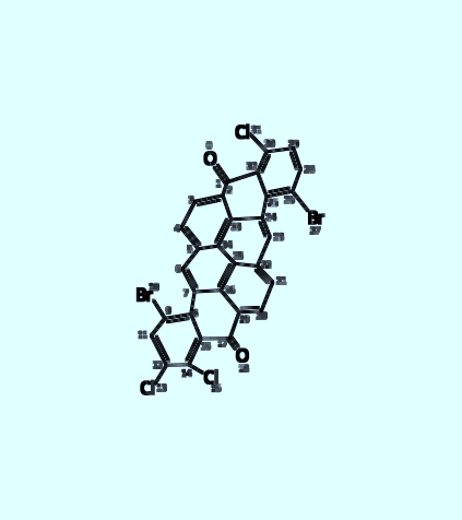 O=c1c2ccc3cc4c5c(Br)cc(Cl)c(Cl)c5c(=O)c5ccc6cc(c7c(Br)ccc(Cl)c17)c2c3c6c54